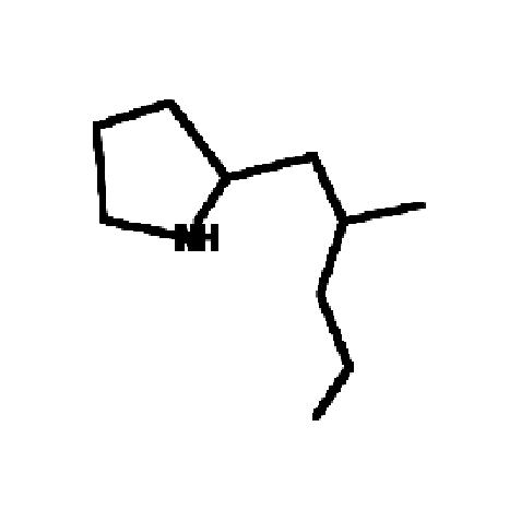 CCCC(C)CC1CCCN1